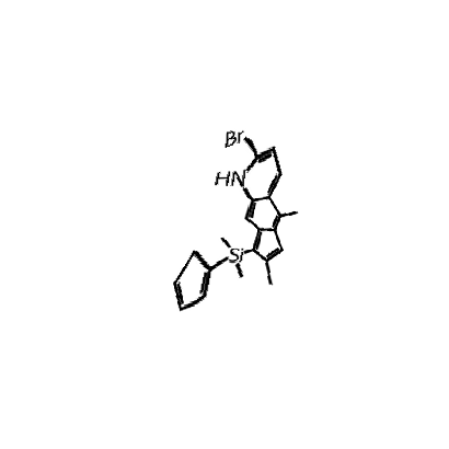 Cc1cc2c(C)c3ccc(Br)[nH]c3cc2c1[Si](C)(C)C1=CC=CC1